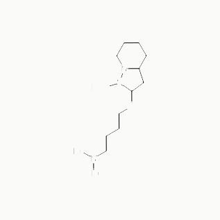 CCN(CC)CCCCOC1CC2CCCCN2N1C